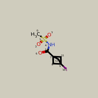 CS(=O)(=O)NC(=O)C12CC(I)(C1)C2